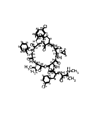 CN[C@@H](C)C(=O)NC(Cc1cccc(Cl)c1)C(=O)N[C@@H]1C(=O)N[C@@H](C2CC2)C(=O)N[C@H]2CC[C@@H](O)N(C2=O)[C@@H](Cc2ccc(Cl)cc2)C(=O)N(C)[C@@H](Cc2ccccc2)C(=O)N[C@@H](C(C)C)C(=O)O[C@@H]1C